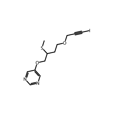 CSC(CCOCC#CI)COc1cncnc1